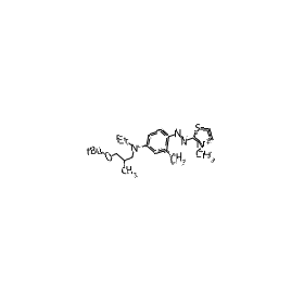 CCN(CC(C)COC(C)(C)C)c1ccc(/N=N/c2scc[n+]2C)c(C)c1